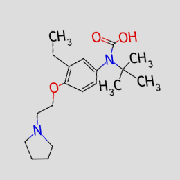 CCc1cc(N(C(=O)O)C(C)(C)C)ccc1OCCN1CCCC1